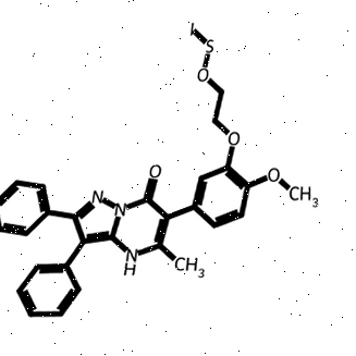 COc1ccc(-c2c(C)[nH]c3c(-c4ccccc4)c(-c4ccccc4)nn3c2=O)cc1OCCOSI